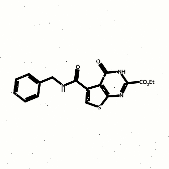 CCOC(=O)c1nc2scc(C(=O)NCc3ccccc3)c2c(=O)[nH]1